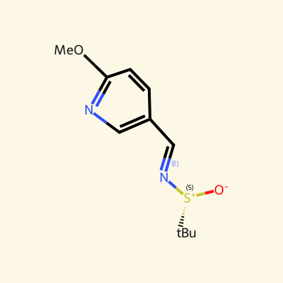 COc1ccc(/C=N/[S@+]([O-])C(C)(C)C)cn1